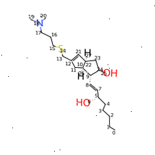 CCCCC[C@H](O)/C=C/[C@@H]1[C@H]2CC(CSCCCN(C)C)=C[C@H]2C[C@H]1O